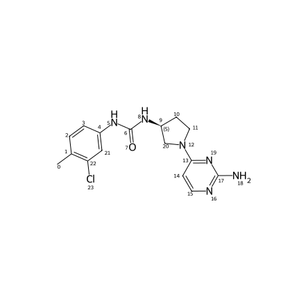 Cc1ccc(NC(=O)N[C@H]2CCN(c3ccnc(N)n3)C2)cc1Cl